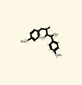 COc1ccc(CC(C)C(N)C(O)c2ccc(OC)cc2)cc1